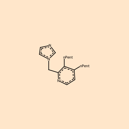 CCCCCc1ccnc(Cn2ccnc2)c1CCCCC